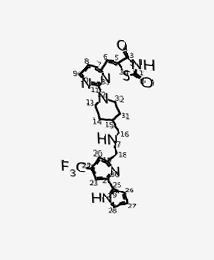 O=C1NC(=O)C(=Cc2ccnc(N3CCC(CNCc4cc(C(F)(F)F)cc(-c5ccc[nH]5)n4)CC3)n2)S1